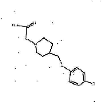 CC(C)(C)C(=O)ON1CCC(COc2ccc(Cl)cc2)CC1